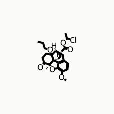 CCCOC12CCC(=O)[C@]3(C)Oc4c(OC)ccc5c4[C@]13CCN(C(=O)OC(C)Cl)[C@@H]2C5